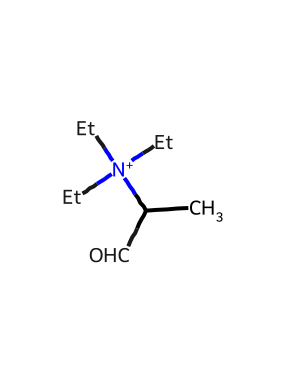 CC[N+](CC)(CC)C(C)C=O